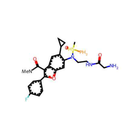 CNC(=O)c1c(-c2ccc(F)cc2)oc2cc(N(CCNC(=O)CN)[SH](C)(=O)P)c(C3CC3)cc12